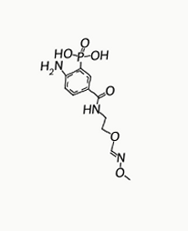 CO/N=C/OCCNC(=O)c1ccc(N)c(P(=O)(O)O)c1